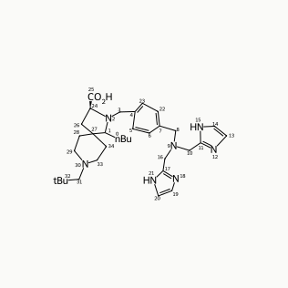 CCCCC1N(Cc2ccc(CN(Cc3ncc[nH]3)Cc3ncc[nH]3)cc2)[C@H](C(=O)O)CC12CCN(CC(C)(C)C)CC2